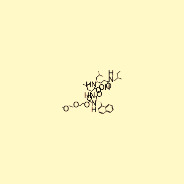 CCC(C)CNC(=O)C[C@H](O)[C@H](CC(C)C)NC(=O)[C@H](CC(C)C)NC(=O)[C@H](Cc1cccc2ccccc12)NC(=O)OCCOCCOC